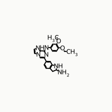 CCOc1ccc(Nc2nc(-c3ccc4c(c3)NC(N)C4)cn3ccnc23)cc1OC